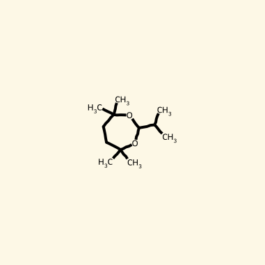 CC(C)C1OC(C)(C)CCC(C)(C)O1